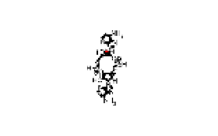 Nc1ncnc2c1ncn2[C@H]1[C@H](O)[C@@H]2O[P@](=O)(S)OC[C@H]3O[C@@H](n4cnc5c(N)ccnc54)[C@H](O[P@@](=O)(S)OC[C@]24C[C@H]14)[C@@H]3O